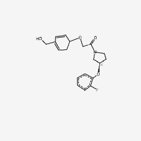 O=C(COC1C=CC(CO)=CC1)N1CC[C@@H](Oc2ccccc2F)C1